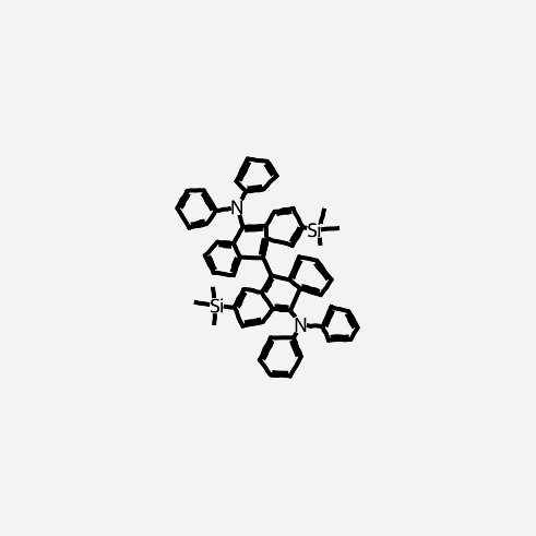 C[Si](C)(C)c1ccc2c(N(c3ccccc3)c3ccccc3)c3ccccc3c(-c3c4ccccc4c(N(c4ccccc4)c4ccccc4)c4ccc([Si](C)(C)C)cc34)c2c1